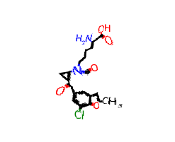 Cc1cc2cc(C(=O)[C@H]3C[C@@H]3N(C=O)CCCC[C@H](N)C(=O)O)cc(Cl)c2o1